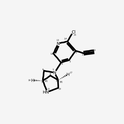 C#Cc1cc(N2C[C@H]3C[C@@H]2CN3)cnc1Cl